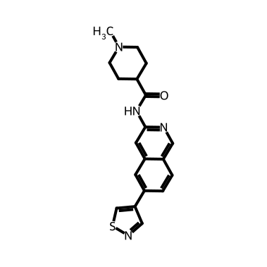 CN1CCC(C(=O)Nc2cc3cc(-c4cnsc4)ccc3cn2)CC1